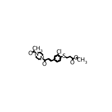 COC(=O)CCSc1ccc(C=CC(=O)N2CCN(C(C)=O)CC2)cc1Cl